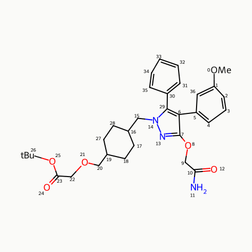 COc1cccc(-c2c(OCC(N)=O)nn(CC3CCC(COCC(=O)OC(C)(C)C)CC3)c2-c2ccccc2)c1